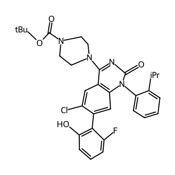 CC(C)c1ccccc1-n1c(=O)nc(N2CCN(C(=O)OC(C)(C)C)CC2)c2cc(Cl)c(-c3c(O)cccc3F)cc21